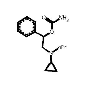 CCCN(CC(OC(N)=O)c1ccccc1)C1CC1